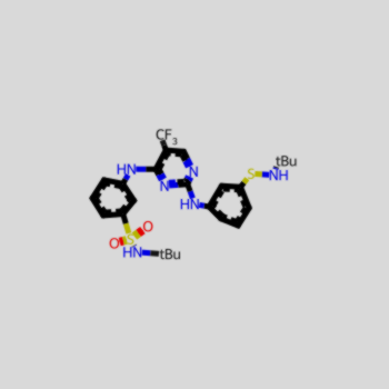 CC(C)(C)NSc1cccc(Nc2ncc(C(F)(F)F)c(Nc3cccc(S(=O)(=O)NC(C)(C)C)c3)n2)c1